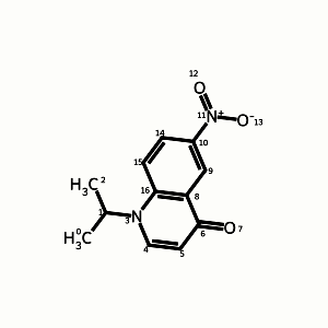 CC(C)n1ccc(=O)c2cc([N+](=O)[O-])ccc21